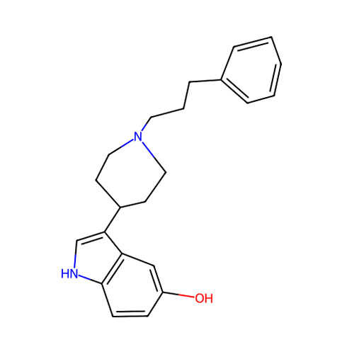 Oc1ccc2[nH]cc(C3CCN(CCCc4ccccc4)CC3)c2c1